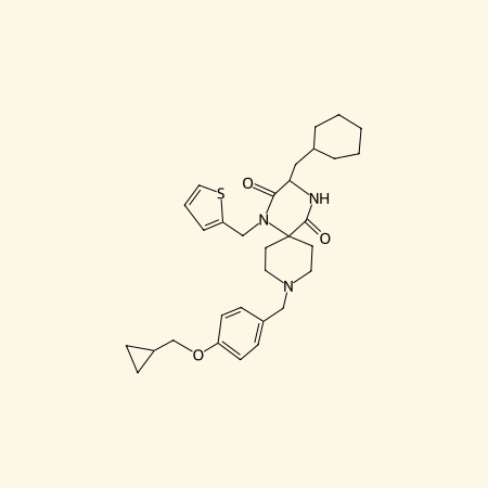 O=C1C(CC2CCCCC2)NC(=O)C2(CCN(Cc3ccc(OCC4CC4)cc3)CC2)N1Cc1cccs1